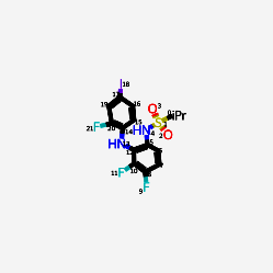 CC(C)S(=O)(=O)Nc1ccc(F)c(F)c1Nc1ccc(I)cc1F